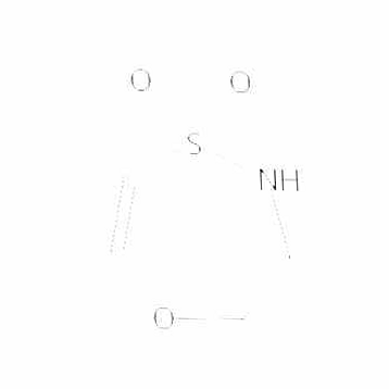 O=S1(=O)C=COC=CN1